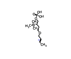 C/C=C/COCCC(COP(=O)(O)O)[N+](C)(C)C